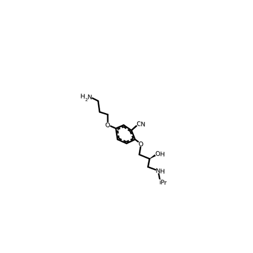 CC(C)NC[C@H](O)COc1ccc(OCCCN)cc1C#N